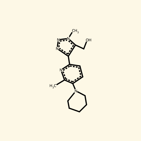 Cc1nc(-c2nnn(C)c2CO)ccc1N1CCCCC1